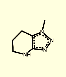 Cn1nnc2c1CCCN2